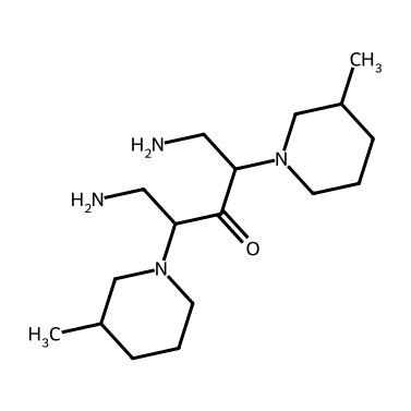 CC1CCCN(C(CN)C(=O)C(CN)N2CCCC(C)C2)C1